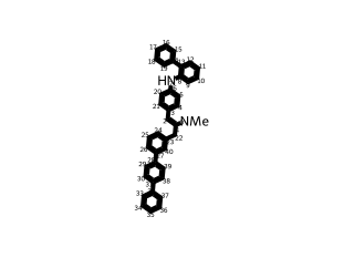 CN/C(=C\c1ccc(Nc2ccccc2-c2ccccc2)cc1)Cc1cccc(-c2ccc(-c3ccccc3)cc2)c1